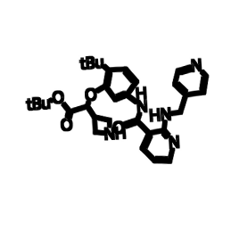 CC(C)(C)OC(=O)C(Oc1cc(NC(=O)c2cccnc2NCc2ccncc2)ccc1C(C)(C)C)C1CNC1